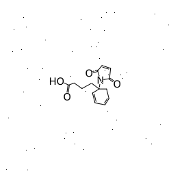 O=C(O)CCCC1(N2C(=O)C=CC2=O)C=CC=CC1